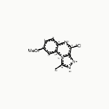 COc1ccc2nc(Cl)c3nnc(C)n3c2c1